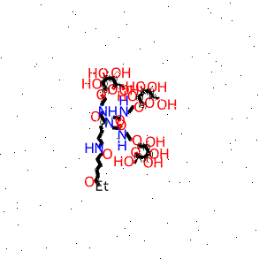 CCC(=O)CCCCC(=O)NCCCC[C@@H](C(=O)NCCO[C@H]1O[C@H](CO)[C@@H](O)[C@H](O)[C@@H]1O)N(CC(=O)NCCO[C@H]1O[C@H](CO)[C@@H](O)[C@H](O)[C@@H]1O)CC(=O)NCCO[C@H]1O[C@H](CO)[C@@H](O)[C@H](O)[C@@H]1O